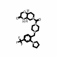 O=C1CO[C@H]2CCN(C(=O)N3CCN(Cc4ccc(C(F)(F)F)cc4N4CCCC4)CC3)C[C@H]2N1